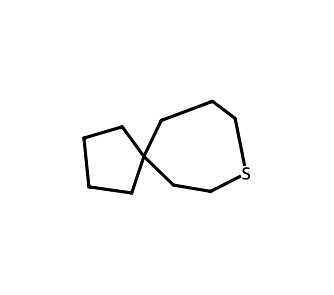 C1CCC2(C1)CCCSCC2